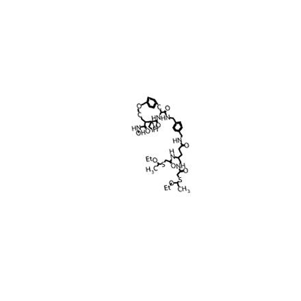 CCOC(C)SCC(=O)NCC(CCC(=O)NCc1ccc(CNC(=O)C2Cc3ccc(cc3)OCCCC(C(=O)NO)[C@@H](CC(C)C)C(=O)N2)cc1)NC(=O)CSC(C)OCC